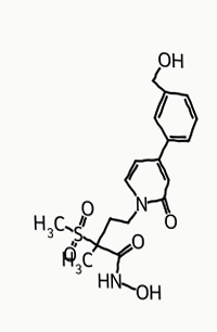 CC(CCn1ccc(-c2cccc(CO)c2)cc1=O)(C(=O)NO)S(C)(=O)=O